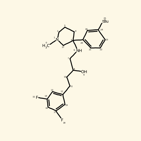 CN1CCCC(NCC(O)CCc2cc(F)cc(F)c2)(c2cccc(C(C)(C)C)c2)C1